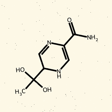 CC(O)(O)[C]1C=NC(C(N)=O)=CN1